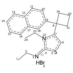 Br.CC/N=c1/scc(C2(c3ccc4ccccc4c3)CCC2)n1CC